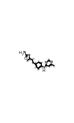 Cc1cc(Nc2ccc(CCC3COC(N)=N3)cc2)ncn1